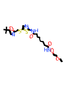 C=COCCONC(=O)CCCCCCC(=O)Nc1ncc(SCc2ncc(C(C)(C)C)o2)s1